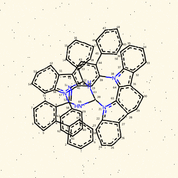 c1ccc(-c2ccccc2C2=NC(c3ccccc3)NC(n3c4ccccc4c4ccc5c6ccccc6n(-c6cc7c(cc6-c6ccccc6)c6ccccc6n7-c6ccccc6)c5c43)N2)cc1